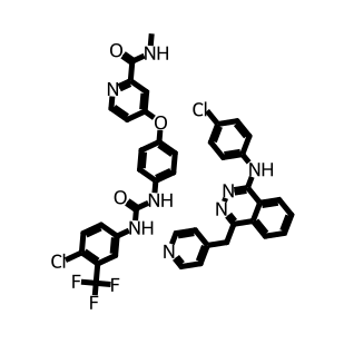 CNC(=O)c1cc(Oc2ccc(NC(=O)Nc3ccc(Cl)c(C(F)(F)F)c3)cc2)ccn1.Clc1ccc(Nc2nnc(Cc3ccncc3)c3ccccc23)cc1